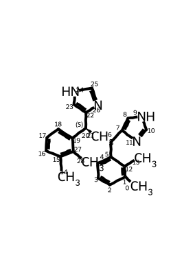 Cc1cccc(Cc2c[nH]cn2)c1C.Cc1cccc([C@H](C)c2c[nH]cn2)c1C